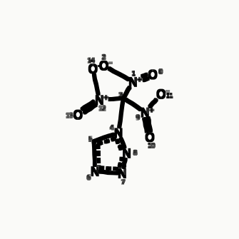 O=[N+]([O-])C(n1[c]nnn1)([N+](=O)[O-])[N+](=O)[O-]